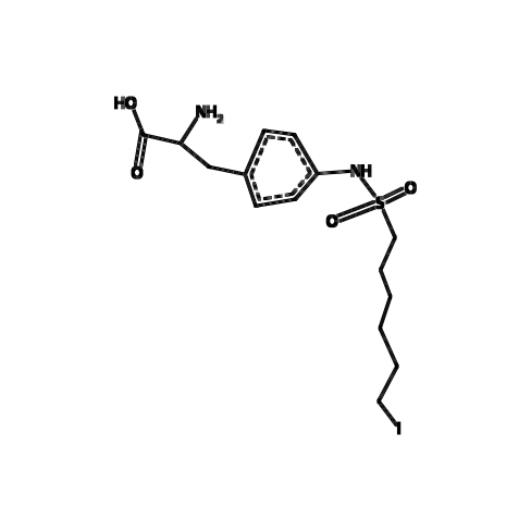 NC(Cc1ccc(NS(=O)(=O)CCCCCCI)cc1)C(=O)O